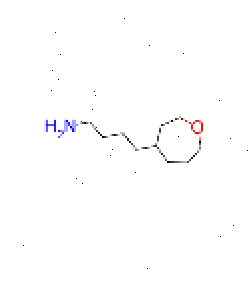 NCCCCC1CCCOCC1